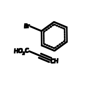 Brc1ccccc1.C#CC(=O)O